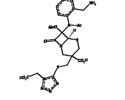 COC1(N(C(C)=O)c2ccccc2CN)C(=O)N2CC(CSc3nnnn3CC(=O)O)(C(=O)O)CS[C@@H]21